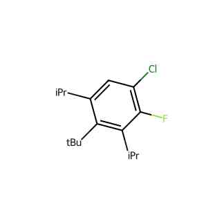 CC(C)c1cc(Cl)c(F)c(C(C)C)c1C(C)(C)C